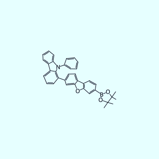 CC1(C)OB(c2ccc3c(c2)oc2cc(-c4cccc5c6ccccc6n(-c6ccccc6)c45)ccc23)OC1(C)C